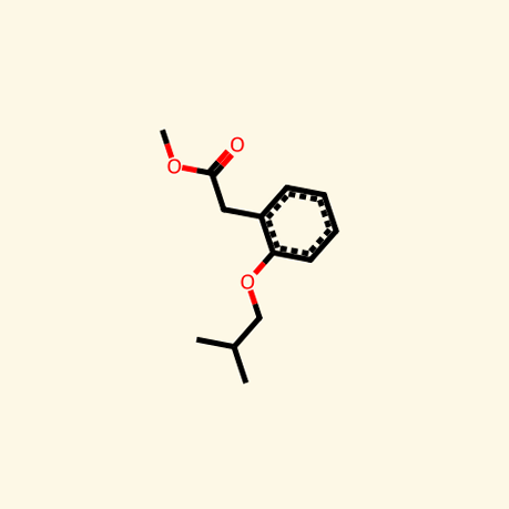 COC(=O)Cc1ccccc1OCC(C)C